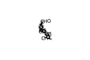 Cc1cc(Cl)c(COc2ccc3c(c2)OCC32CCN(CCC=O)CC2)c(Cl)c1